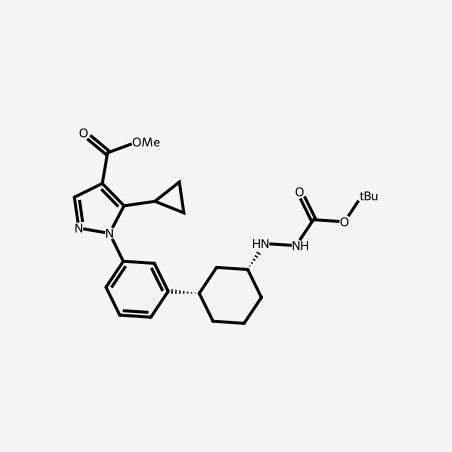 COC(=O)c1cnn(-c2cccc([C@H]3CCC[C@@H](NNC(=O)OC(C)(C)C)C3)c2)c1C1CC1